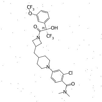 CN(C)C(=O)c1ccc(N2CCC(CC3CN(C(=O)[C@](O)(c4cccc(OC(F)(F)F)c4)C(F)(F)F)C3)CC2)cc1Cl